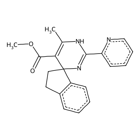 COC(=O)C1=C(C)NC(c2ccccn2)=NC12CCc1ccccc12